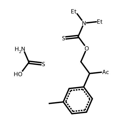 CCN(CC)C(=S)OCC(C(C)=O)c1cccc(C)c1.NC(O)=S